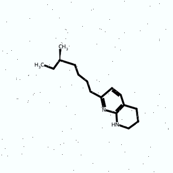 CC[C@@H](C)CCCCc1ccc2c(n1)NCCC2